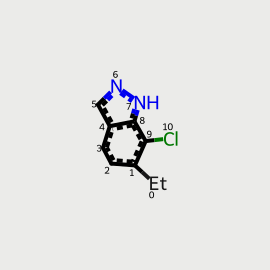 CCc1ccc2cn[nH]c2c1Cl